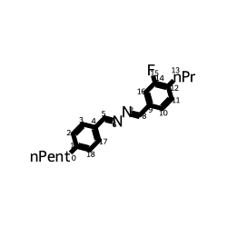 CCCCCc1ccc(/C=N/N=C/c2ccc(CCC)c(F)c2)cc1